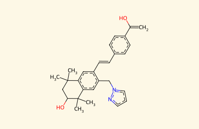 C=C(O)c1ccc(/C=C/c2cc3c(cc2Cn2cccn2)C(C)(C)C(O)CC3(C)C)cc1